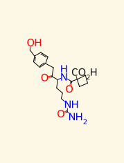 NC(=O)NCCCC(NC(=O)C1(C(=O)O)CCC1)C(=O)Cc1ccc(CO)cc1